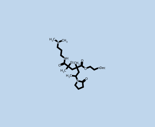 CCCCCCCCCCCCOC(=O)C(C)(CC(C)N1CCCC1=O)CC(C)(CC)C(=O)NCCCN(C)C